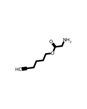 C#CCCCCOC(=O)CN